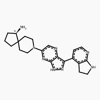 N[C@@H]1CCCC12CCN(c1cnc3c(-c4ccnc5c4CCN5)n[nH]c3n1)CC2